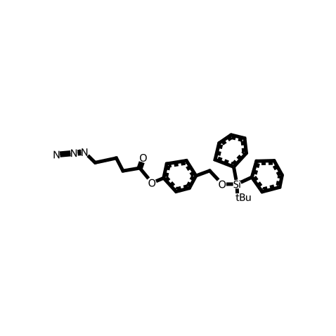 CC(C)(C)[Si](OCc1ccc(OC(=O)CCCN=[N+]=[N-])cc1)(c1ccccc1)c1ccccc1